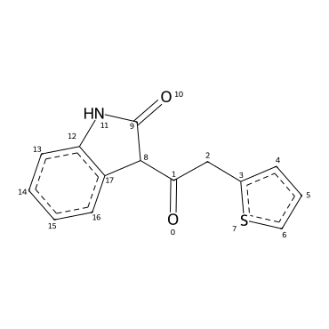 O=C(Cc1cccs1)C1C(=O)Nc2ccccc21